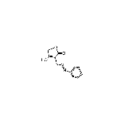 O=C1OCC(O)=C1SN=Nc1ccccc1